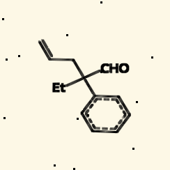 C=CCC(C=O)(CC)c1ccccc1